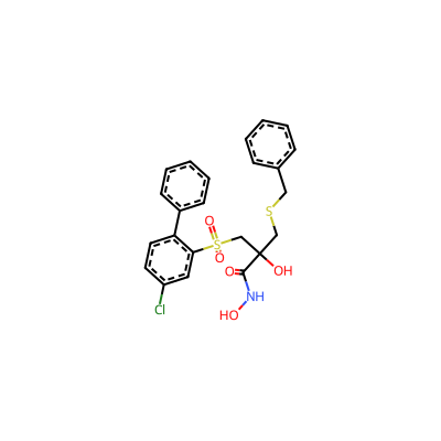 O=C(NO)C(O)(CSCc1ccccc1)CS(=O)(=O)c1cc(Cl)ccc1-c1ccccc1